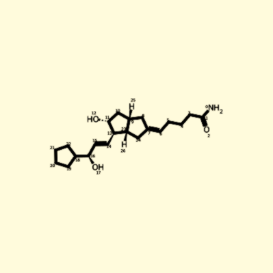 NC(=O)CCC/C=C1\C[C@H]2C[C@@H](O)[C@H](/C=C/[C@@H](O)C3CCCC3)[C@H]2C1